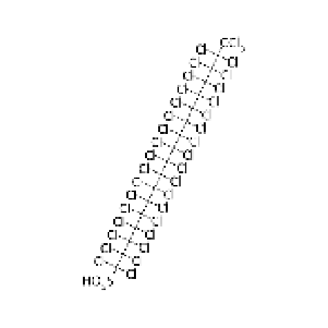 O=S(=O)(O)C(Cl)(Cl)C(Cl)(Cl)C(Cl)(Cl)C(Cl)(Cl)C(Cl)(Cl)C(Cl)(Cl)C(Cl)(Cl)C(Cl)(Cl)C(Cl)(Cl)C(Cl)(Cl)C(Cl)(Cl)C(Cl)(Cl)C(Cl)(Cl)C(Cl)(Cl)C(Cl)(Cl)C(Cl)(Cl)C(Cl)(Cl)C(Cl)(Cl)Cl